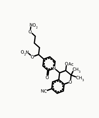 CC(=O)OC1C(n2ccc(C(CCCO[N+](=O)[O-])O[N+](=O)[O-])cc2=O)c2cc(C#N)ccc2OC1(C)C